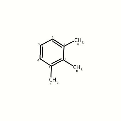 Cc1[c][c][c]c(C)c1C